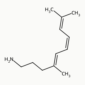 CC(C)=C/C=C\C=C(/C)CCCN